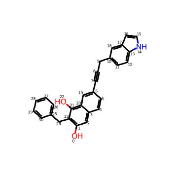 Oc1cc2ccc(C#CCc3ccc4[nH]ccc4c3)cc2c(O)c1Cc1ccccc1